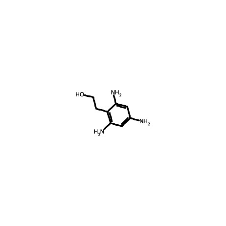 Nc1cc(N)c(CCO)c(N)c1